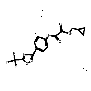 O=C(NCC1CC1)C(=O)Nc1ccc(-c2noc(C(F)(F)F)n2)cc1